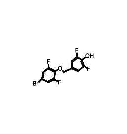 Oc1c(F)cc(COc2c(F)cc(Br)cc2F)cc1F